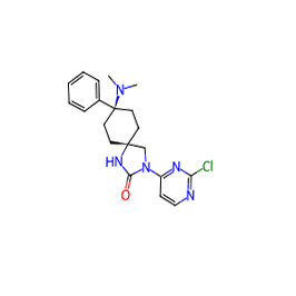 CN(C)[C@]1(c2ccccc2)CC[C@@]2(CC1)CN(c1ccnc(Cl)n1)C(=O)N2